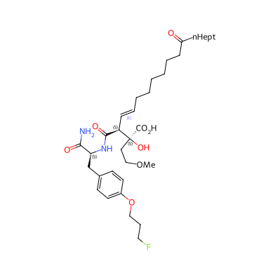 CCCCCCCC(=O)CCCCCC/C=C/[C@H](C(=O)N[C@@H](Cc1ccc(OCCCF)cc1)C(N)=O)[C@@](O)(CCOC)C(=O)O